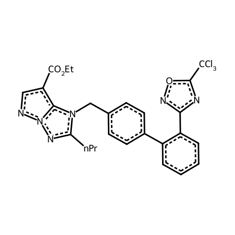 CCCc1nn2ncc(C(=O)OCC)c2n1Cc1ccc(-c2ccccc2-c2noc(C(Cl)(Cl)Cl)n2)cc1